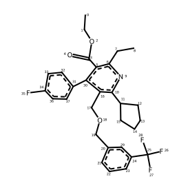 CCOC(=O)c1c(CC)nc(C2CCCC2)c(COCc2cccc(C(F)(F)F)c2)c1-c1ccc(F)cc1